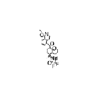 CCOc1nccc2c(C(=O)c3ccc([C@@H](C)NC(=O)C(F)(F)F)c4c3OCCC4)cccc12